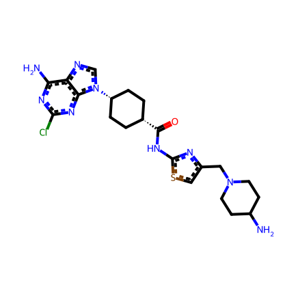 Nc1nc(Cl)nc2c1ncn2[C@H]1CC[C@@H](C(=O)Nc2nc(CN3CCC(N)CC3)cs2)CC1